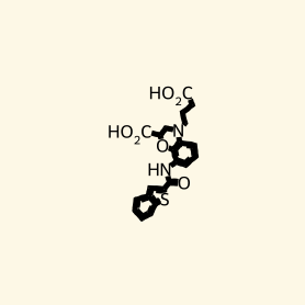 O=C(O)CCCN1CC(C(=O)O)Oc2c(NC(=O)c3cc4ccccc4s3)cccc21